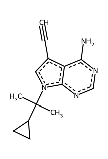 C#Cc1cn(C(C)(C)C2CC2)c2ncnc(N)c12